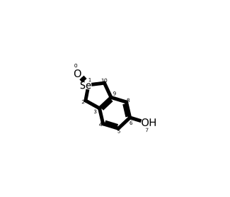 O=[Se]1Cc2ccc(O)cc2C1